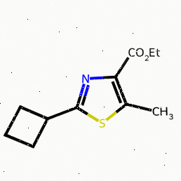 CCOC(=O)c1nc(C2CCC2)sc1C